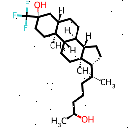 C[C@H](O)CCC[C@@H](C)[C@H]1CC[C@H]2[C@@H]3CC[C@H]4C[C@](O)(C(F)(F)F)CC[C@]4(C)[C@H]3CC[C@]12C